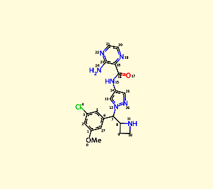 COc1cc(Cl)cc(C(C2CCN2)n2cc(NC(=O)c3nccnc3N)cn2)c1